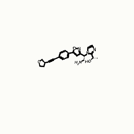 C[C@H](O)c1nccn1[C@H](CN)c1cc(-c2ccc(C#CC3CCOC3)cc2)on1